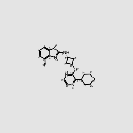 Fc1cccc2sc(N[C@H]3C[C@H](Oc4nccnc4C4CCOCC4)C3)nc12